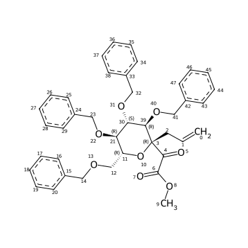 C=CC[C@@]1(C(=O)C(=O)OC)O[C@H](COCc2ccccc2)[C@@H](OCc2ccccc2)[C@H](OCc2ccccc2)[C@H]1OCc1ccccc1